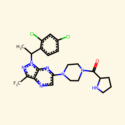 CC(c1ccc(Cl)cc1Cl)n1nc(C(F)(F)F)c2ncc(N3CCN(C(=O)C4CCCN4)CC3)nc21